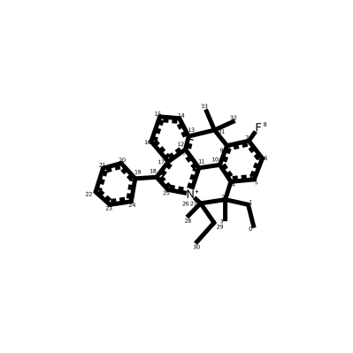 CCC1(C)c2ccc(F)c3c2-c2c4c(cccc4c(-c4ccccc4)c[n+]2C1(C)CC)C3(C)C